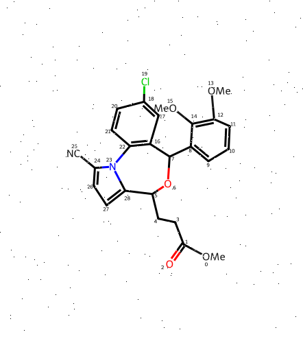 COC(=O)CCC1OC(c2cccc(OC)c2OC)c2cc(Cl)ccc2-n2c(C#N)ccc21